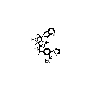 CCOc1cc([C@@H](C)NC(=O)[C@](C)(O)[C@@H](O)C(=O)N2Cc3cccnc3C2)ccc1-n1cccn1